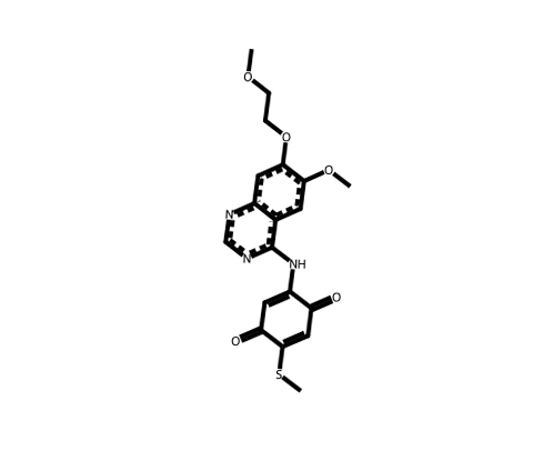 COCCOc1cc2ncnc(NC3=CC(=O)C(SC)=CC3=O)c2cc1OC